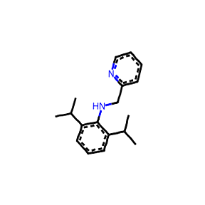 CC(C)c1cccc(C(C)C)c1NCc1ccccn1